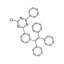 Clc1nc(-c2ccccc2)nc(-c2cccc(C(=C(c3ccccc3)c3ccccc3)c3ccccc3)c2)n1